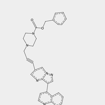 O=C(OCc1ccccc1)N1CCN(CC#Cc2cnc3c(-c4ccnc5ccccc45)cnn3c2)CC1